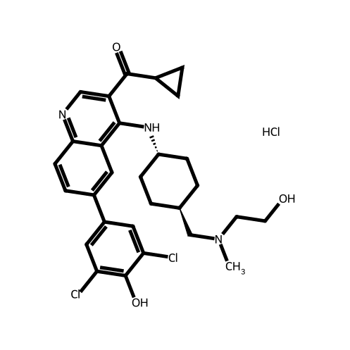 CN(CCO)C[C@H]1CC[C@H](Nc2c(C(=O)C3CC3)cnc3ccc(-c4cc(Cl)c(O)c(Cl)c4)cc23)CC1.Cl